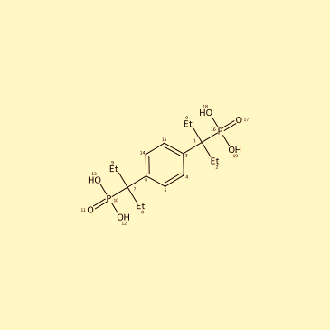 CCC(CC)(c1ccc(C(CC)(CC)P(=O)(O)O)cc1)P(=O)(O)O